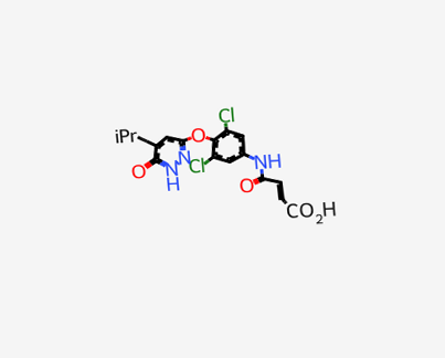 CC(C)c1cc(Oc2c(Cl)cc(NC(=O)/C=C/C(=O)O)cc2Cl)n[nH]c1=O